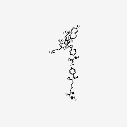 CCCC1O[C@@H]2C[C@H]3[C@@H]4CCC5=CC(=O)C=C[C@]5(C)C4[C@@H](O)C[C@]3(C)[C@]2(C(=O)COc2ccc(NC(=O)OCc3ccc(NC(=O)CCCCNC(N)=O)cc3)cc2)O1